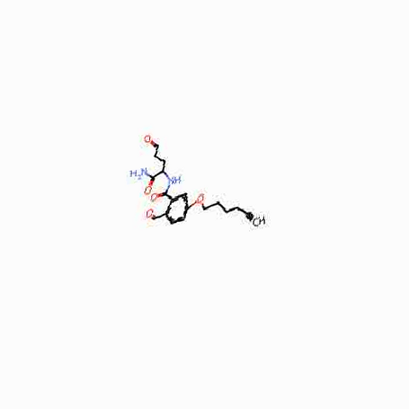 C#CCCCCOc1ccc(C=O)c(C(=O)NC(CCC=O)C(N)=O)c1